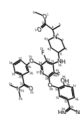 COC(=O)C(C)N1CCC(Nc2c(F)c(Oc3cccc(C(=O)N(C)C)c3)nc(Oc3cc(C(=N)N)ccc3O)c2F)CC1